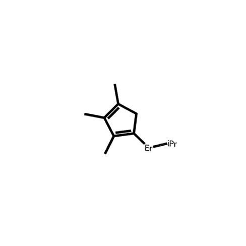 CC1=C(C)C(C)=[C]([Er][CH](C)C)C1